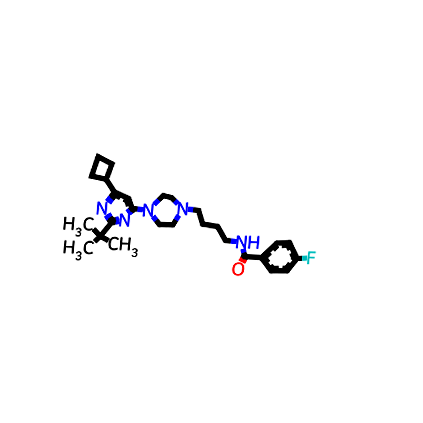 CC(C)(C)c1nc(C2CCC2)cc(N2CCN(CCCCNC(=O)c3ccc(F)cc3)CC2)n1